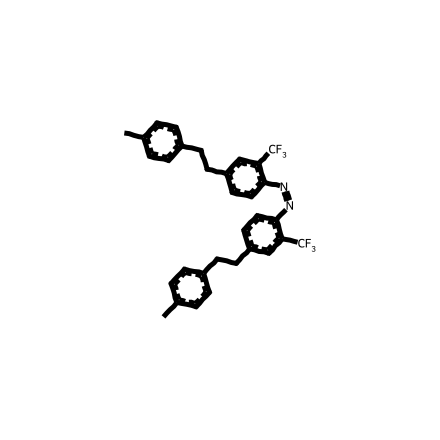 Cc1ccc(CCc2ccc(/N=N\c3ccc(CCc4ccc(C)cc4)cc3C(F)(F)F)c(C(F)(F)F)c2)cc1